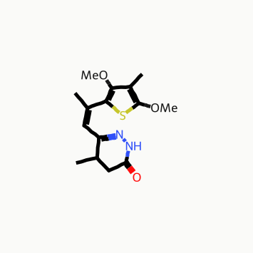 COc1sc(C(C)=CC2=NNC(=O)CC2C)c(OC)c1C